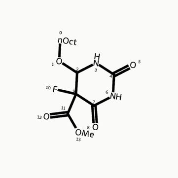 CCCCCCCCOC1NC(=O)NC(=O)C1(F)C(=O)OC